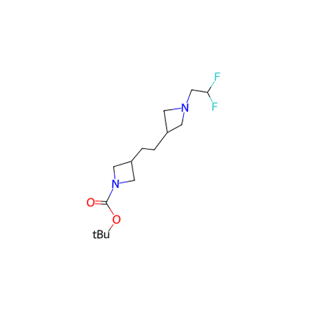 CC(C)(C)OC(=O)N1CC(CCC2CN(CC(F)F)C2)C1